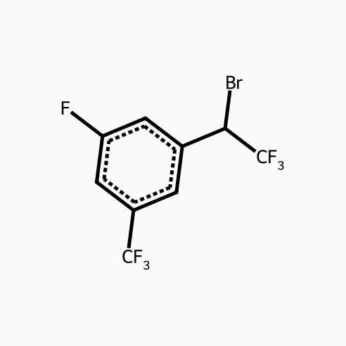 Fc1cc(C(Br)C(F)(F)F)cc(C(F)(F)F)c1